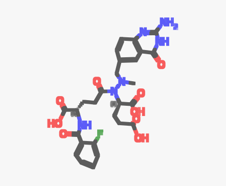 CN(Cc1ccc2nc(N)[nH]c(=O)c2c1)N(C(=O)CC[C@H](NC(=O)c1ccccc1F)C(=O)O)[C@H](CCC(=O)O)C(=O)O